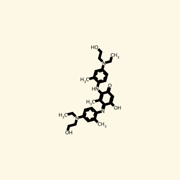 CCN(CCO)c1ccc(N=C2C(O)=CC(=O)C(Nc3ccc(N(CC)CCO)cc3C)=C2C)c(C)c1